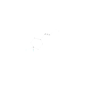 CC(C)(C)/C=C/C1CCC(F)(F)CC1